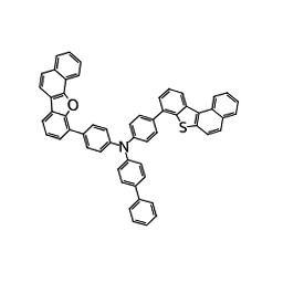 c1ccc(-c2ccc(N(c3ccc(-c4cccc5c4oc4c6ccccc6ccc54)cc3)c3ccc(-c4cccc5c4sc4ccc6ccccc6c45)cc3)cc2)cc1